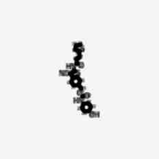 N#Cc1c(NC(=O)C=Cc2cccs2)sc2c1CCC(COC(=O)NC1CCC(O)CC1)C2